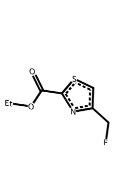 CCOC(=O)c1nc(CF)cs1